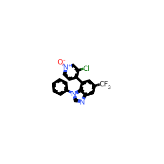 [O-][n+]1ccc(-c2cc(C(F)(F)F)cc3ncn(-c4ccccc4)c23)c(Cl)c1